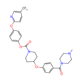 CN1CCN(C(=O)c2ccc(OC3CCN(C(=O)Oc4ccc(Oc5ccc(C(F)(F)F)cn5)cc4)CC3)cc2)CC1